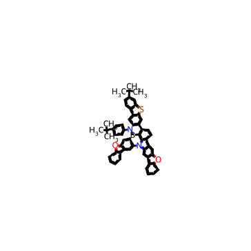 CC(C)(C)c1ccc(N2B3c4cc5oc6ccccc6c5cc4-n4c5cc6c(cc5c5ccc(c3c54)-c3cc4sc5cc(C(C)(C)C)ccc5c4cc32)oc2ccccc26)cc1